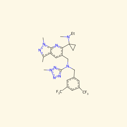 CCN(C)C1(c2nc3c(cc2CN(Cc2cc(C(F)(F)F)cc(C(F)(F)F)c2)c2nnn(C)n2)c(C)nn3C)CC1